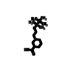 CC(C)(C)[Si](C)(C)OCCN1CCCC(C(=O)O)C1